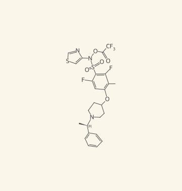 Cc1c(OC2CCN([C@H](C)c3ccccc3)CC2)cc(F)c(S(=O)(=O)N(OC(=O)C(F)(F)F)c2cscn2)c1F